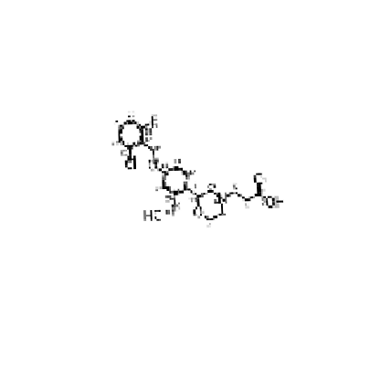 Cl.O=C(O)CCN1CCOC(c2ccc(OCc3c(F)cccc3Cl)cc2F)C1